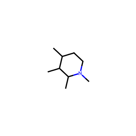 CC1CCN(C)C(C)C1C